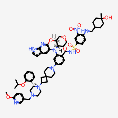 COc1ccc(CN2CCN(C3CC4(CCN(c5ccc(C(=O)NS(=O)(=O)c6ccc(NCC7CCC(C)(O)CC7)c([N+](=O)[O-])c6)c(N6c7cc8cc[nH]c8nc7O[C@H]7COCC[C@@H]76)c5)CC4)C3)[C@@H](c3ccccc3OC(C)C)C2)cn1